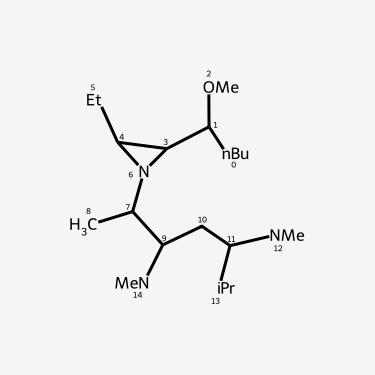 CCCCC(OC)C1C(CC)N1C(C)C(CC(NC)C(C)C)NC